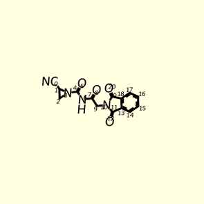 N#CC1CN1C(=O)NC(=O)CN1C(=O)c2ccccc2C1=O